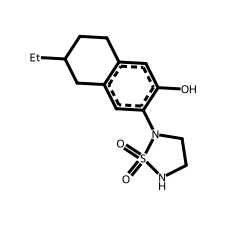 CCC1CCc2cc(O)c(N3CCNS3(=O)=O)cc2C1